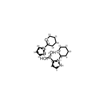 OB(O)c1ccnn1C1CCCCO1.c1cnn(C2CCCCO2)c1